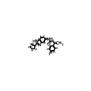 CC(CC(=O)Nc1ccc2[nH]c(C3CSC=N3)nc2c1)c1ccc(F)cc1